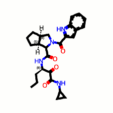 CCC[C@@H](NC(=O)C1[C@H]2CCC[C@H]2CN1C(=O)c1cc2ccccc2[nH]1)C(=O)C(=O)NC1CC1